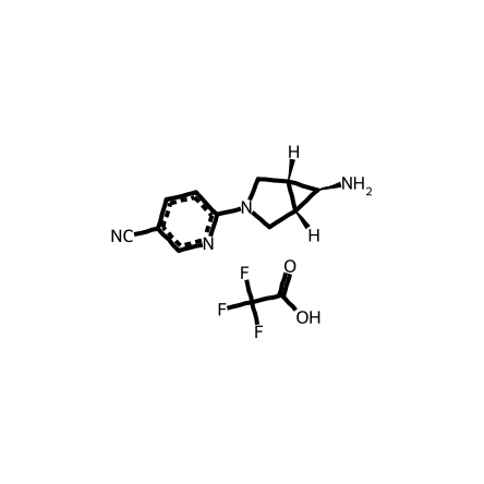 N#Cc1ccc(N2C[C@@H]3[C@@H](N)[C@@H]3C2)nc1.O=C(O)C(F)(F)F